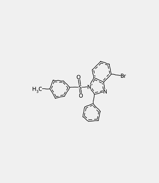 Cc1ccc(S(=O)(=O)n2c(-c3ccccc3)nc3c(Br)cccc32)cc1